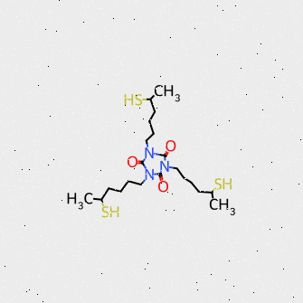 CC(S)CCCCn1c(=O)n(CCCCC(C)S)c(=O)n(CCCCC(C)S)c1=O